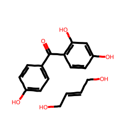 O=C(c1ccc(O)cc1)c1ccc(O)cc1O.OCC=CCO